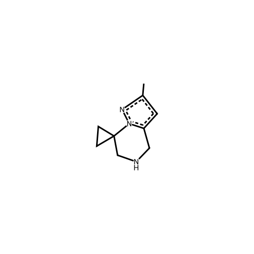 Cc1cc2n(n1)C1(CC1)CNC2